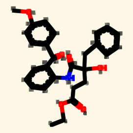 CCOC(=O)CCC(O)(Cc1ccccc1)C(=O)Nc1ccccc1C(=O)c1ccc(OC)cc1